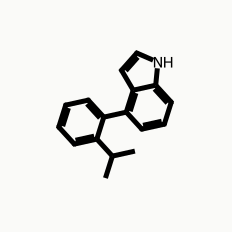 CC(C)c1ccccc1-c1cccc2[nH]ccc12